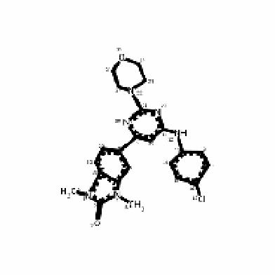 Cn1c(=O)n(C)c2cc(-c3cc(Nc4ccc(Cl)cc4)nc(N4CCOCC4)n3)ccc21